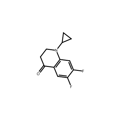 O=C1CCN(C2CC2)c2cc(F)c(F)cc21